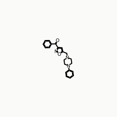 O=C(c1ccccc1)c1cc(CN2CCN(c3ccccc3)CC2)on1